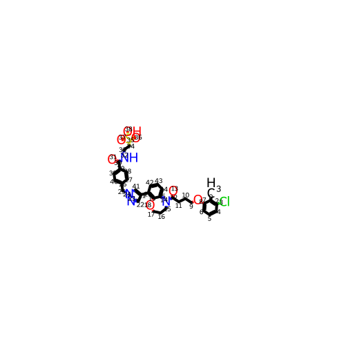 Cc1c(Cl)cccc1OCCCC(=O)N1CCCOc2c(-c3cnn(Cc4ccc(C(=O)NCCS(=O)(=O)O)cc4)c3)cccc21